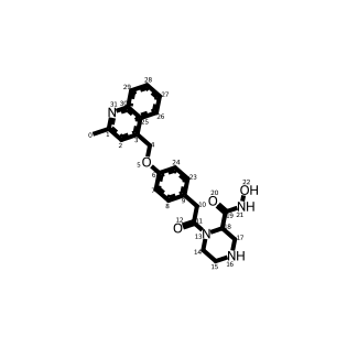 Cc1cc(COc2ccc(CC(=O)N3CCNCC3C(=O)NO)cc2)c2ccccc2n1